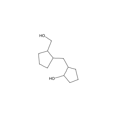 OCC1CCCC1CC1CCCC1O